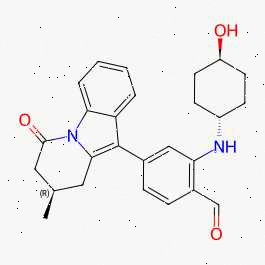 C[C@H]1CC(=O)n2c(c(-c3ccc(C=O)c(N[C@H]4CC[C@H](O)CC4)c3)c3ccccc32)C1